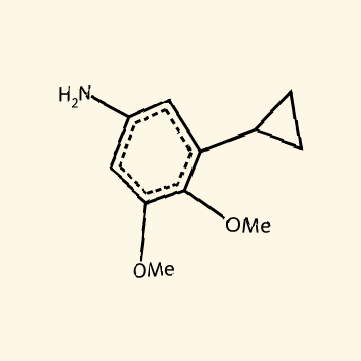 COc1cc(N)cc(C2CC2)c1OC